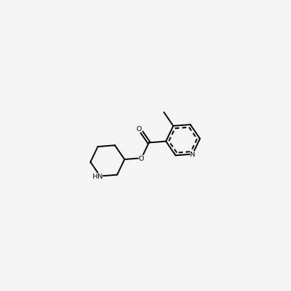 Cc1ccncc1C(=O)OC1CCCNC1